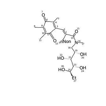 CCCCCCCCCC(=CC1=C(C)C(=O)C(C)=C(C)C1=O)C(=O)N(C)C[C@H](O)[C@@H](O)[C@H](O)[C@H](O)CC